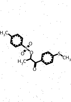 CSc1ccc(C(=O)C(C)OS(=O)(=O)c2ccc(C)cc2)cc1